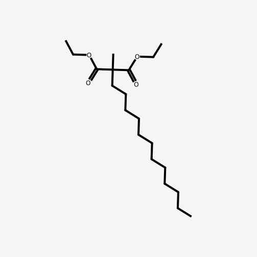 CCCCCCCCCCCCC(C)(C(=O)OCC)C(=O)OCC